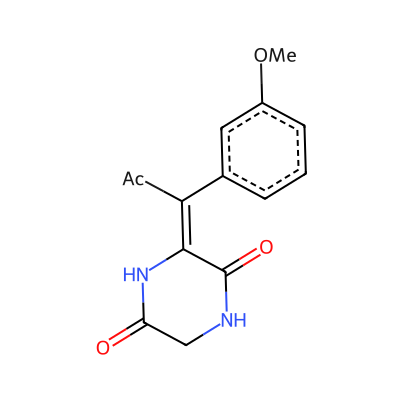 COc1cccc(C(C(C)=O)=C2NC(=O)CNC2=O)c1